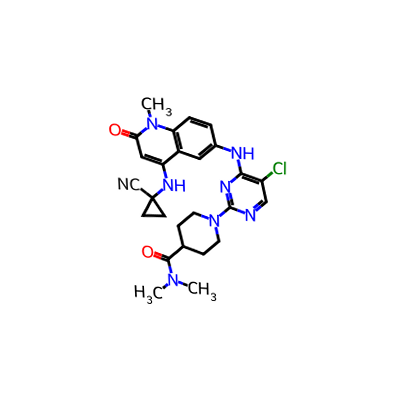 CN(C)C(=O)C1CCN(c2ncc(Cl)c(Nc3ccc4c(c3)c(NC3(C#N)CC3)cc(=O)n4C)n2)CC1